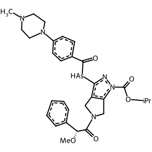 CO[C@@H](C(=O)N1Cc2c([AsH]C(=O)c3ccc(N4CCN(C)CC4)cc3)nn(C(=O)OC(C)C)c2C1)c1ccccc1